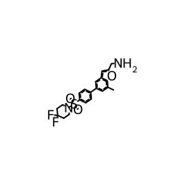 Cc1cc(-c2ccc(S(=O)(=O)N3CCC(F)(F)CC3)cc2)cc2cc(CN)oc12